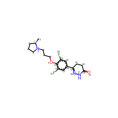 C[C@@H]1CCCN1CCCOc1c(F)cc(C2=NNC(=O)CC2)cc1F